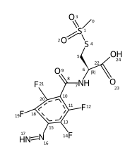 CS(=O)(=O)SC[C@H](NC(=O)c1c(F)c(F)c(N=N)c(F)c1F)C(=O)O